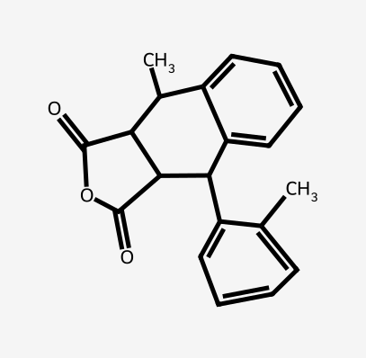 Cc1ccccc1C1c2ccccc2C(C)C2C(=O)OC(=O)C12